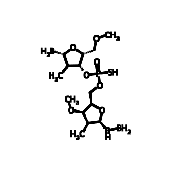 BB[C@@H]1O[C@H](COP(=O)(S)O[C@@H]2C(C)[C@H](B)O[C@@H]2COC)[C@H](OC)C1C